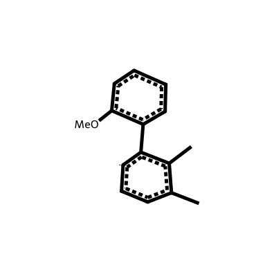 COc1ccccc1-c1[c]ccc(C)c1C